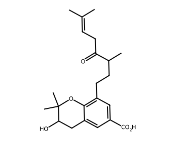 CC(C)=CCC(=O)C(C)CCc1cc(C(=O)O)cc2c1OC(C)(C)C(O)C2